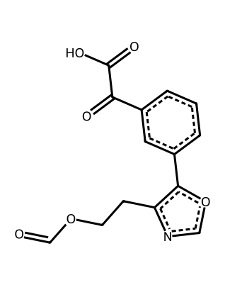 O=COCCc1ncoc1-c1cccc(C(=O)C(=O)O)c1